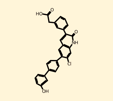 O=C(O)Cc1cccc(-c2cc3cc(-c4ccc(-c5cccc(O)c5)cc4)c(Cl)cc3[nH]c2=O)c1